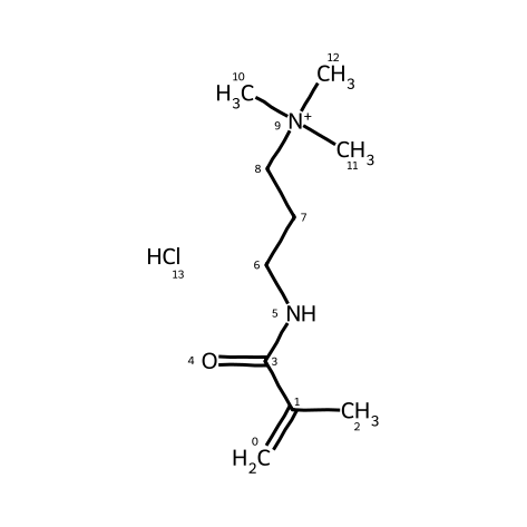 C=C(C)C(=O)NCCC[N+](C)(C)C.Cl